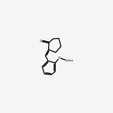 CCCCCCOc1ccccc1/C=C1\CCCCC1=O